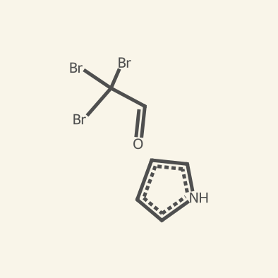 O=CC(Br)(Br)Br.c1cc[nH]c1